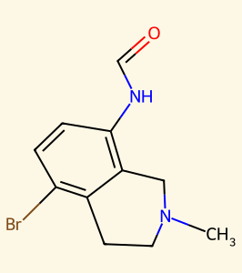 CN1CCc2c(Br)ccc(NC=O)c2C1